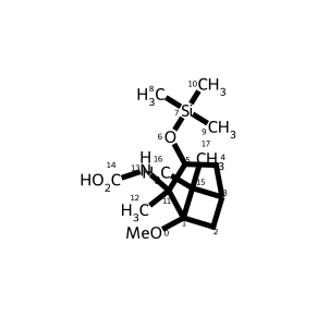 COC12CC(CC(O[Si](C)(C)C)C1(C)NC(=O)O)C2(C)C